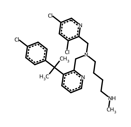 CNCCCCN(Cc1ncc(Cl)cc1Cl)Cc1ncccc1C(C)(C)c1ccc(Cl)cc1